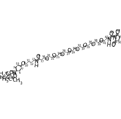 CC1(C)OB(c2ccc(OCCCCNC(=O)CCOCCOCCOCCOCCOCCOCCOCCOCCNC(=O)N3C(=O)C=CC3=O)cc2)OC1(C)C